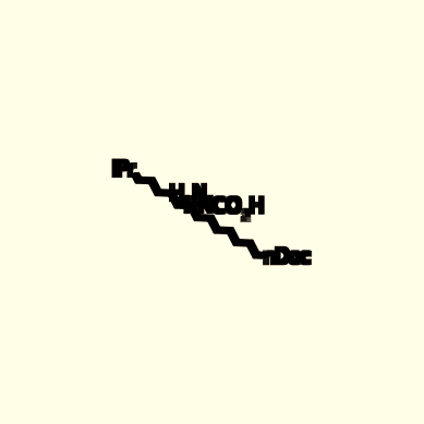 CCCCCCCCCCCCCCCCCCCCCCCC(C)C.NNC(=O)O